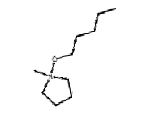 CCCCCO[N+]1(C)CCCC1